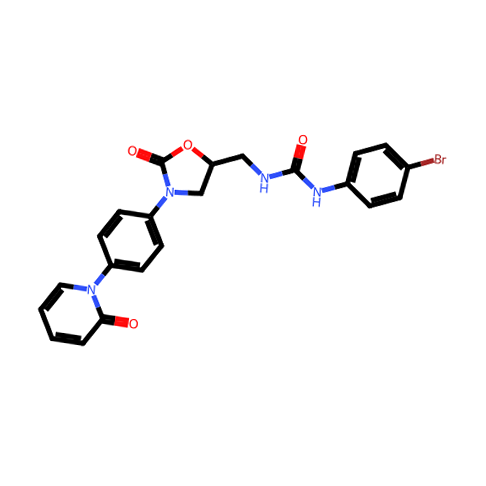 O=C(NCC1CN(c2ccc(-n3ccccc3=O)cc2)C(=O)O1)Nc1ccc(Br)cc1